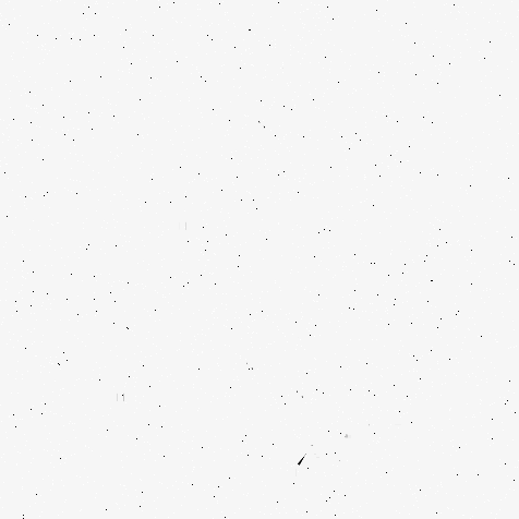 Cc1ccc(OCc2ccc3c(c2C)CCN(C2COC2)CC3)c(-c2cccc(N3C[C@H]4C[C@]4(C(=O)O)C3)n2)c1